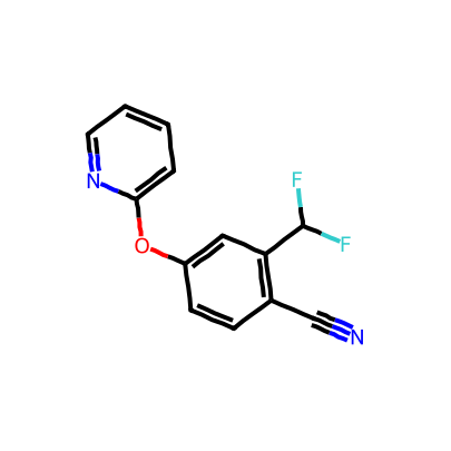 N#Cc1ccc(Oc2ccccn2)cc1C(F)F